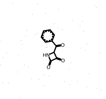 O=C1NC(C(=O)c2ccccc2)C1=O